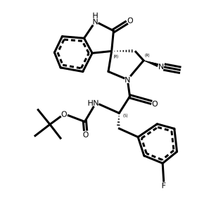 C#[N+][C@@H]1C[C@@]2(CN1C(=O)[C@H](Cc1cccc(F)c1)NC(=O)OC(C)(C)C)C(=O)Nc1ccccc12